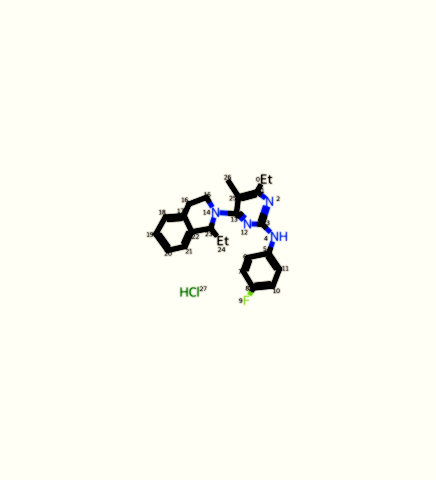 CCc1nc(Nc2ccc(F)cc2)nc(N2CCc3ccccc3C2CC)c1C.Cl